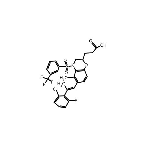 CC(=Cc1ccc2c(c1C)N(S(=O)(=O)c1cccc(C(F)(F)F)c1)CC(CCC(=O)O)O2)c1c(F)cccc1Cl